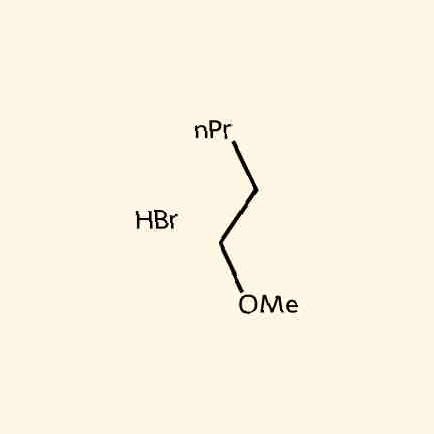 Br.CCCCCOC